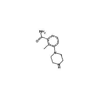 Cc1c(C(N)=O)cccc1N1CCNCC1